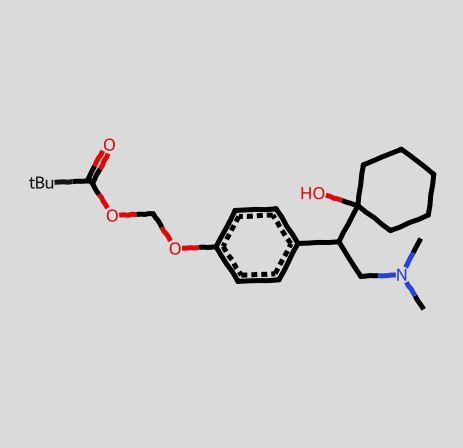 CN(C)CC(c1ccc(OCOC(=O)C(C)(C)C)cc1)C1(O)CCCCC1